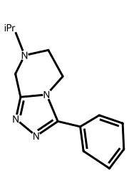 CC(C)N1CCn2c(nnc2-c2ccccc2)C1